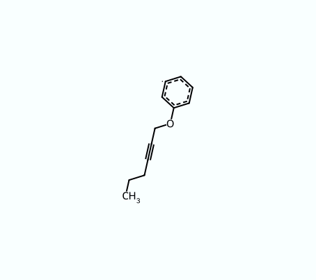 CCCC#CCOc1c[c]ccc1